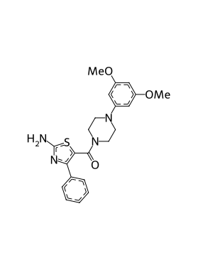 COc1cc(OC)cc(N2CCN(C(=O)c3sc(N)nc3-c3ccccc3)CC2)c1